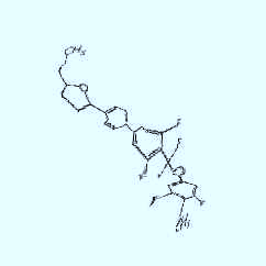 CCCC1CCC(c2ccc(-c3cc(F)c(C(F)(F)Oc4cc(F)c(C)c(F)c4)c(F)c3)cc2)O1